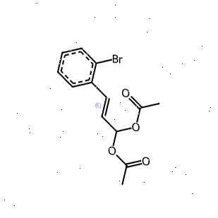 CC(=O)OC(/C=C/c1ccccc1Br)OC(C)=O